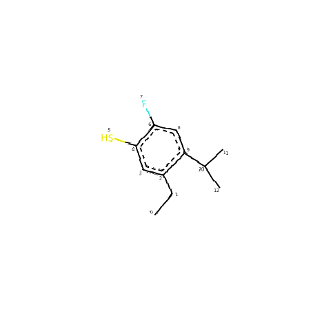 CCc1cc(S)c(F)cc1C(C)C